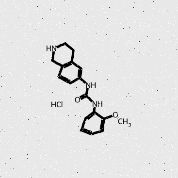 COc1ccccc1NC(=O)Nc1ccc2c(c1)CCNC2.Cl